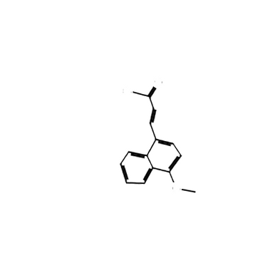 COc1ccc(C=CC(=O)Cl)c2ccccc12